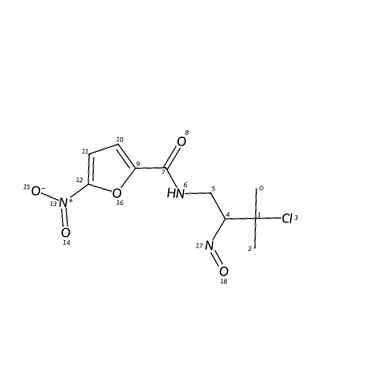 CC(C)(Cl)C(CNC(=O)c1ccc([N+](=O)[O-])o1)N=O